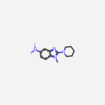 Cn1c(N2CCCCC2)nc2cc(N(I)I)ccc21